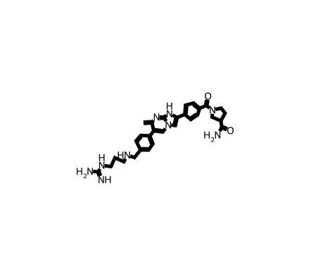 C=C1N=C2NC(c3ccc(C(=O)N4CCC(C(N)=O)C4)cc3)=CN2C=C1c1ccc(CNCCCNC(=N)N)cc1